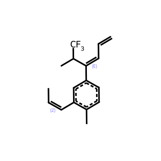 C=C/C=C(/c1ccc(C)c(/C=C\C)c1)C(C)C(F)(F)F